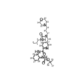 CCCNC(=O)N(CCCN1CCOCC1)Cc1ccc(C(=O)Nc2ccccc2NC(=O)OC(C)(C)C)nc1